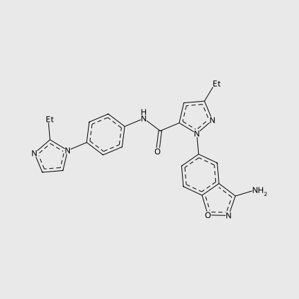 CCc1cc(C(=O)Nc2ccc(-n3ccnc3CC)cc2)n(-c2ccc3onc(N)c3c2)n1